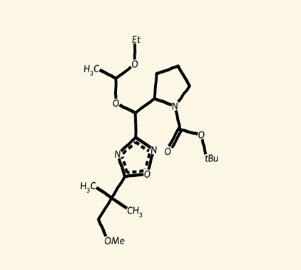 CCOC(C)OC(c1noc(C(C)(C)COC)n1)C1CCCN1C(=O)OC(C)(C)C